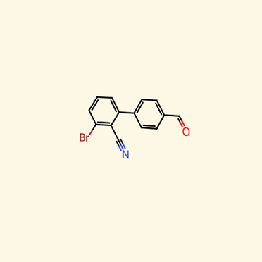 N#Cc1c(Br)cccc1-c1ccc(C=O)cc1